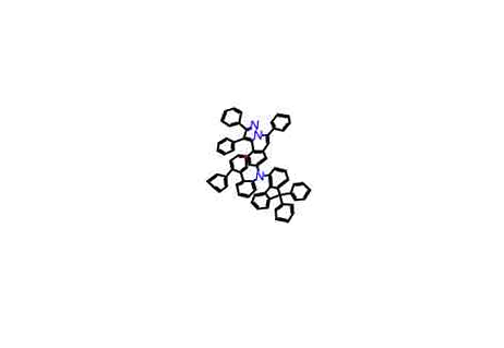 c1ccc(-c2ccccc2-c2ccccc2N(c2ccc3c(c2)cc(-c2ccccc2)n2nc(-c4ccccc4)c(-c4ccccc4)c32)c2cccc3c2-c2ccccc2C3(c2ccccc2)c2ccccc2)cc1